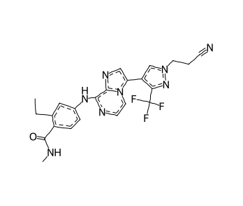 CCc1cc(Nc2nccn3c(-c4cn(CCC#N)nc4C(F)(F)F)cnc23)ccc1C(=O)NC